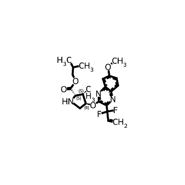 C=CC(F)(F)c1nc2ccc(OC)cc2nc1O[C@H]1CN[C@H](C(=O)OCC(C)C)[C@@H]1C